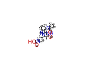 O=C(O)N1CCC(c2cc(=O)[nH]c3c4c(N5C(=O)C6CCCC65)cccc4nn23)CC1